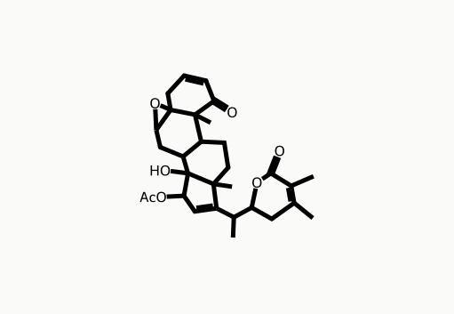 CC(=O)OC1C=C(C(C)C2CC(C)=C(C)C(=O)O2)C2(C)CCC3C(CC4OC45CC=CC(=O)C35C)C12O